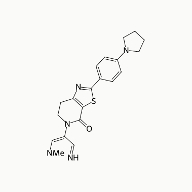 CN/C=C(\C=N)N1CCc2nc(-c3ccc(N4CCCC4)cc3)sc2C1=O